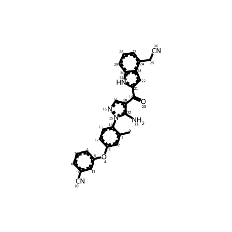 Cc1cc(Oc2cccc(C#N)c2)ccc1-n1ncc(C(=O)c2cc3c(CC#N)cccc3[nH]2)c1N